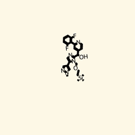 Cn1cc(-c2cnc(C(O)c3ccnc(-c4c(F)cccc4F)c3)n2COCC[Si](C)(C)C)cn1